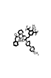 CN1CCN(C2CCN(C(=O)[C@H](CC(=O)N3CCCCC3N3CNc4ccccc4CC3=O)Cc3cc(C(F)(F)F)c(N)c(C(F)(F)F)c3)CC2)CC1